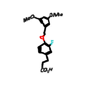 COc1cc(COc2ccc(CCC(=O)O)cc2F)cc(OC)c1